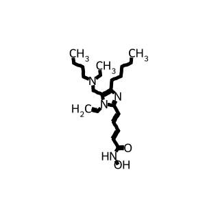 C=Cn1c(/C=C/C=C/C(=O)NO)nc(CCCCC)c1CN(CC)CCCC